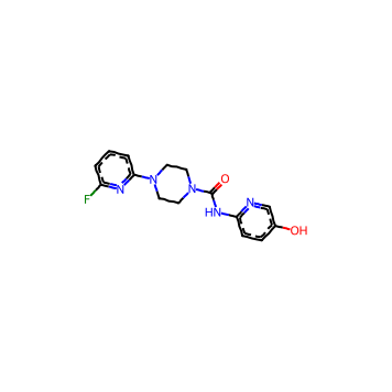 O=C(Nc1ccc(O)cn1)N1CCN(c2cccc(F)n2)CC1